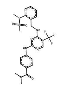 CN(C)C(=O)c1ccc(Nc2ncc(C(F)(F)F)c(NCc3ccccc3N(C)S(C)(=O)=O)n2)cc1